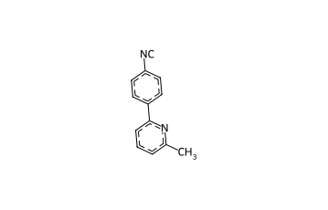 [C-]#[N+]c1ccc(-c2cccc(C)n2)cc1